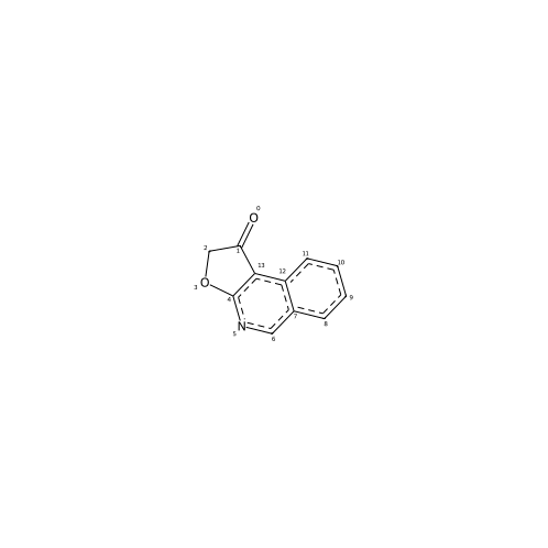 O=C1COc2ncc3ccccc3c21